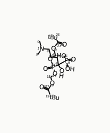 CN(C)CCCC(O)(P(=O)(O)O)P(=O)(OCOC(=O)C(C)(C)C)OCOC(=O)C(C)(C)C